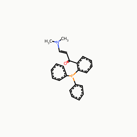 CN(C)C=CC(=O)c1ccccc1P(c1ccccc1)c1ccccc1